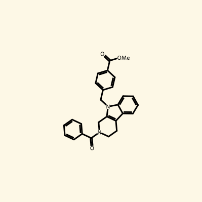 COC(=O)c1ccc(Cn2c3c(c4ccccc42)CCN(C(=O)c2ccccc2)C3)cc1